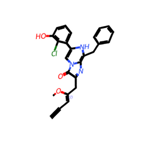 C#C/C=C(/Cc1nc2c(Cc3ccccc3)[nH]c(-c3cccc(O)c3Cl)cn-2c1=O)OC